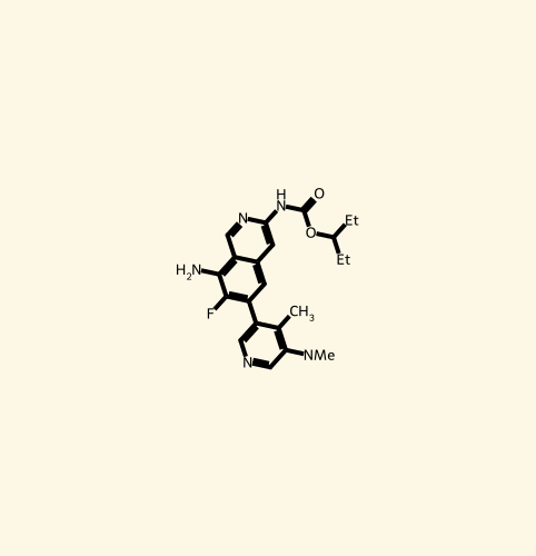 CCC(CC)OC(=O)Nc1cc2cc(-c3cncc(NC)c3C)c(F)c(N)c2cn1